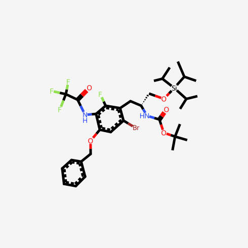 CC(C)[Si](OC[C@@H](Cc1c(Br)cc(OCc2ccccc2)c(NC(=O)C(F)(F)F)c1F)NC(=O)OC(C)(C)C)(C(C)C)C(C)C